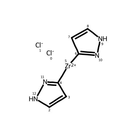 [Cl-].[Cl-].c1c[c]([Zr+2][c]2cc[nH]n2)n[nH]1